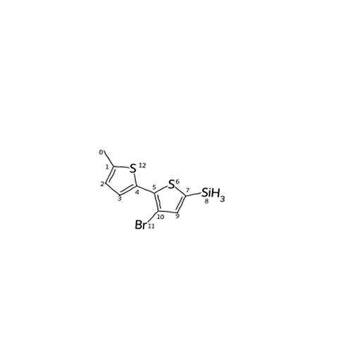 Cc1ccc(-c2sc([SiH3])cc2Br)s1